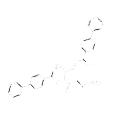 CON=C[C@@H](F)[C@H](OC(=O)c1ccc(-c2ccccc2)cc1)[C@@H](Br)COC(=O)c1ccc(-c2ccccc2)cc1